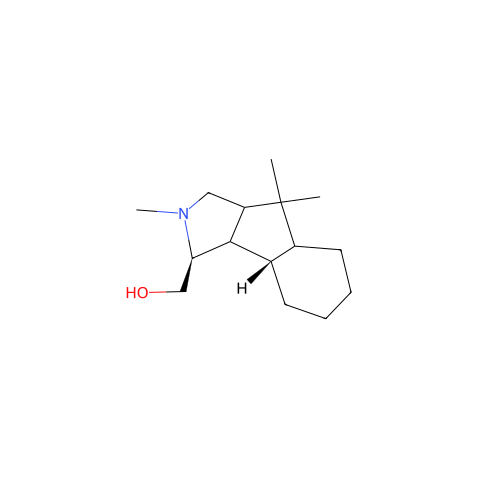 CN1CC2C([C@H]3CCCCC3C2(C)C)[C@H]1CO